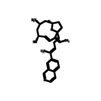 C/C=C1/C=C/[C@@H](O)C[C@@H](N)C[C@H]2CC[C@@]1(CC/C=C(\C)c1ccc3ccncc3c1)O2